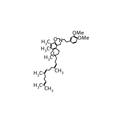 COc1ccc(CCN2COc3c(C)c(C)c4c(c3C2)CCC(C)(CCC=C(C)CCC=C(C)CCC=C(C)C)O4)cc1OC